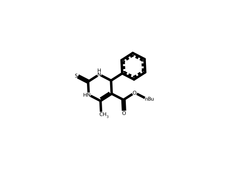 CCCCOC(=O)C1=C(C)NC(=S)NC1c1ccccc1